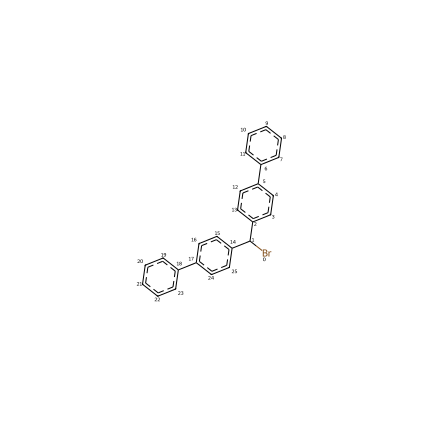 BrC(c1ccc(-c2ccccc2)cc1)c1ccc(-c2ccccc2)cc1